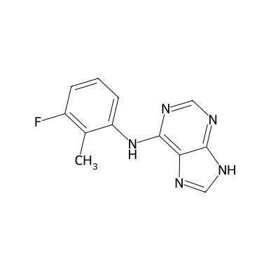 Cc1c(F)cccc1Nc1ncnc2[nH]cnc12